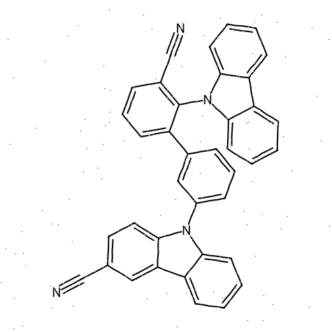 N#Cc1ccc2c(c1)c1ccccc1n2-c1cccc(-c2cccc(C#N)c2-n2c3ccccc3c3ccccc32)c1